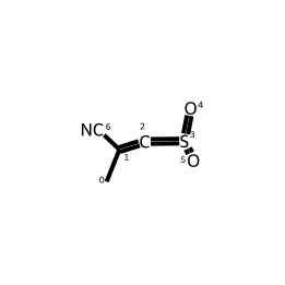 CC(=C=S(=O)=O)C#N